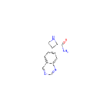 C1CNC1.NC=O.c1ccc2ncncc2c1